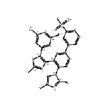 Cc1cn(-c2ccc(-c3cccc(S(C)(=O)=O)c3)cc2-c2nc(C)oc2-c2cc(F)cc(Cl)c2)c(C)n1